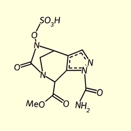 COC(=O)C1c2c(cnn2C(N)=O)C2CN1C(=O)N2OS(=O)(=O)O